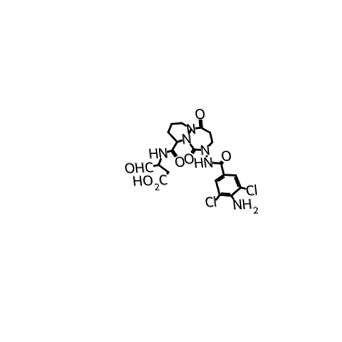 Nc1c(Cl)cc(C(=O)NN2CCC(=O)N3CCCC(C(=O)NC(C=O)CC(=O)O)N3C2=O)cc1Cl